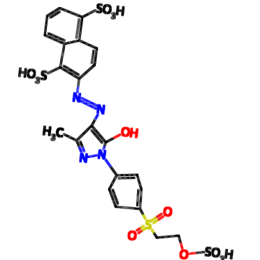 Cc1nn(-c2ccc(S(=O)(=O)CCOS(=O)(=O)O)cc2)c(O)c1/N=N/c1ccc2c(S(=O)(=O)O)cccc2c1S(=O)(=O)O